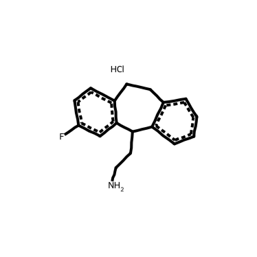 Cl.NCCC1c2ccccc2CCc2ccc(F)cc21